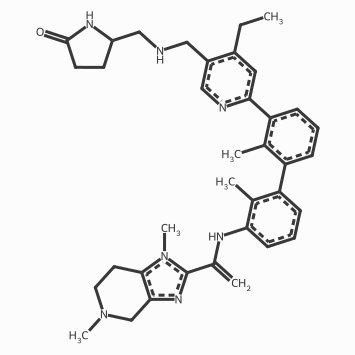 C=C(Nc1cccc(-c2cccc(-c3cc(CC)c(CNCC4CCC(=O)N4)cn3)c2C)c1C)c1nc2c(n1C)CCN(C)C2